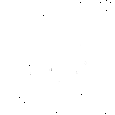 CCc1csc(-c2cc(C)on2)n1